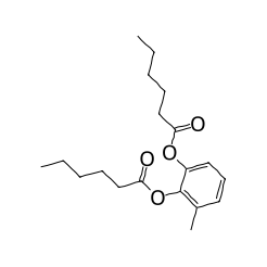 CCCCCC(=O)Oc1cccc(C)c1OC(=O)CCCCC